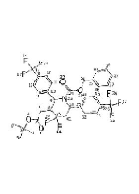 CC(C)(C)OC(=O)CC1C(c2ccc(C(F)(F)F)cc2)N(C(=O)OCc2ccccc2)C(c2ccc(C(F)(F)F)cc2)CC1(F)F